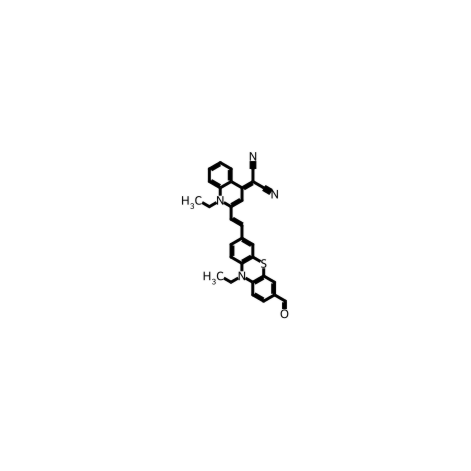 CCN1C(/C=C/c2ccc3c(c2)Sc2cc(C=O)ccc2N3CC)=CC(=C(C#N)C#N)c2ccccc21